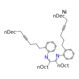 CCCCCCCCCCCC#CCCCc1ccccc1N=C(CCCCCCCC)C(CCCCCCCC)=Nc1ccccc1CCCC#CCCCCCCCCCCC.[Ni]